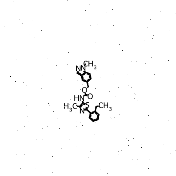 CCc1ccccc1-c1nc(C)c(NC(=O)OCc2ccc3c(cnn3C)c2)s1